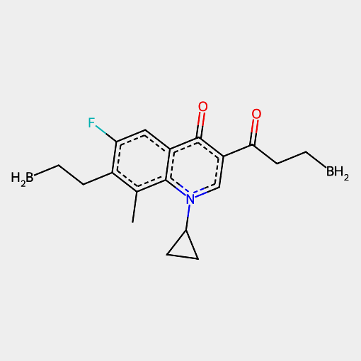 BCCC(=O)c1cn(C2CC2)c2c(C)c(CCB)c(F)cc2c1=O